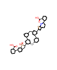 Cc1cccc(-c2cc(Cc3cccc(-c4cccc(C5Cc6ccc(-c7ccccc7C(=O)O)cc6S5(=O)=O)c4)c3)cc(-c3cc4ccc(-c5ccccc5C(=O)O)nc4s3)c2)c1